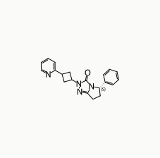 O=c1n(C2CC(c3ccccn3)C2)nc2n1[C@H](c1ccccc1)CC2